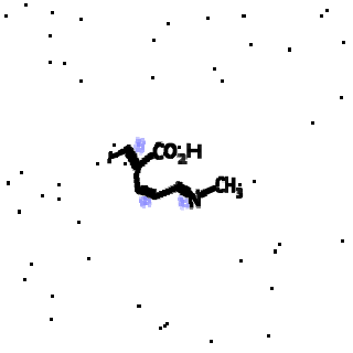 C/N=C/C=C\C(=C/I)C(=O)O